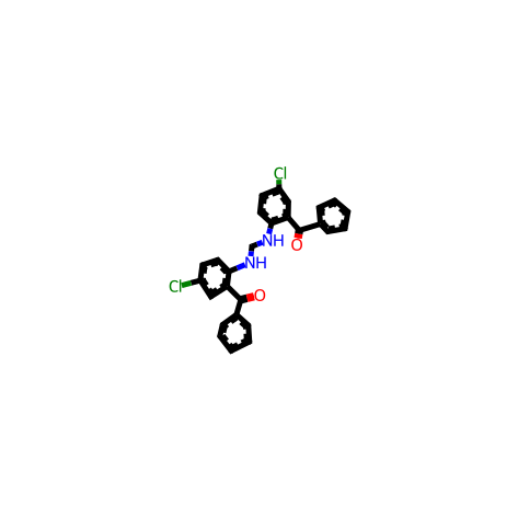 O=C(c1ccccc1)c1cc(Cl)ccc1NCNc1ccc(Cl)cc1C(=O)c1ccccc1